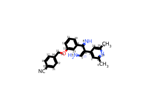 Cc1cc(/C(=C/N)C(=N)c2cccc(OCc3ccc(C#N)cc3)c2)cc(C)n1